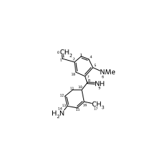 C=Cc1ccc(NC)c(C(=N)C2CC=C(N)C=C2C)c1